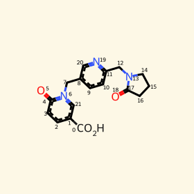 O=C(O)c1ccc(=O)n(Cc2ccc(CN3CCCC3=O)nc2)c1